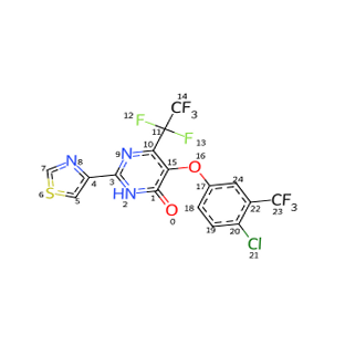 O=c1[nH]c(-c2cscn2)nc(C(F)(F)C(F)(F)F)c1Oc1ccc(Cl)c(C(F)(F)F)c1